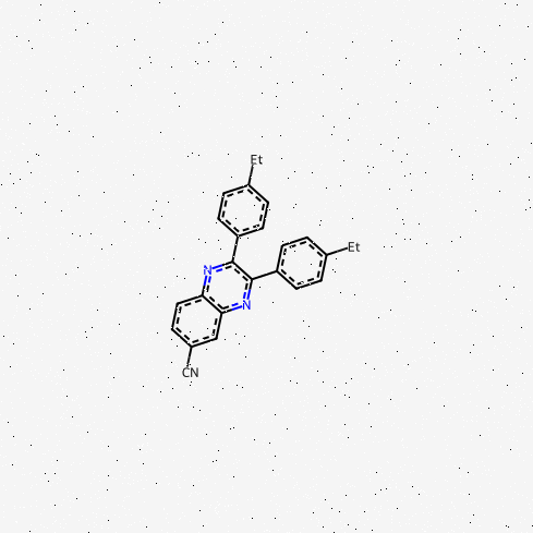 CCc1ccc(-c2nc3ccc(C#N)cc3nc2-c2ccc(CC)cc2)cc1